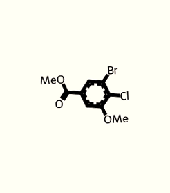 COC(=O)c1cc(Br)c(Cl)c(OC)c1